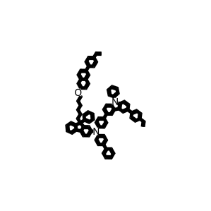 C=Cc1ccc(-c2ccc3cc(OCCCCCCC4(c5ccccc5)c5ccccc5-c5ccc(N(c6ccc(-c7ccccc7)cc6)c6ccc(-c7ccc8c(c7)c7cc(-c9ccc(C=C)cc9)ccc7n8-c7ccccc7)cc6)cc54)ccc3c2)cc1